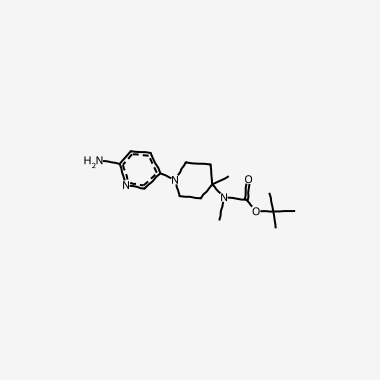 CN(C(=O)OC(C)(C)C)C1(C)CCN(c2ccc(N)nc2)CC1